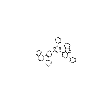 c1ccc(-c2nc(-c3ccc(-c4cccc5ccccc45)c(-c4ccccc4)c3)nc(-c3ccc(-c4ccccc4)c4oc5ccccc5c34)n2)cc1